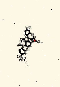 NC(=S)N(c1ccc(S(N)(=O)=O)cc1Br)c1cccc2c1C(=O)OC21c2ccc(O)cc2Oc2cc(O)ccc21